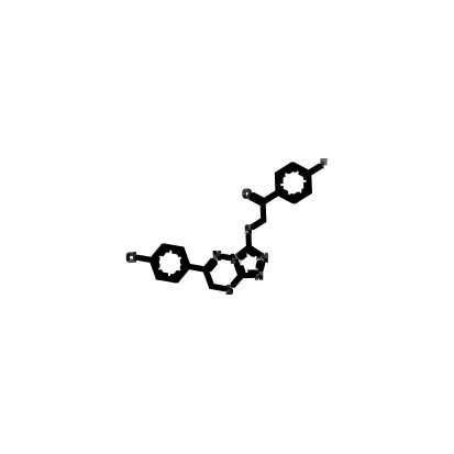 O=C(CSc1nnc2n1N=C(c1ccc(Cl)cc1)CS2)c1ccc(F)cc1